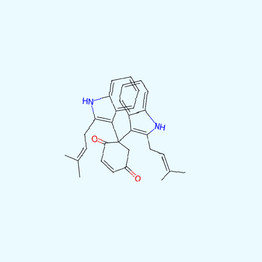 CC(C)=CCc1[nH]c2ccccc2c1C1(c2c(CC=C(C)C)[nH]c3ccccc23)CC(=O)C=CC1=O